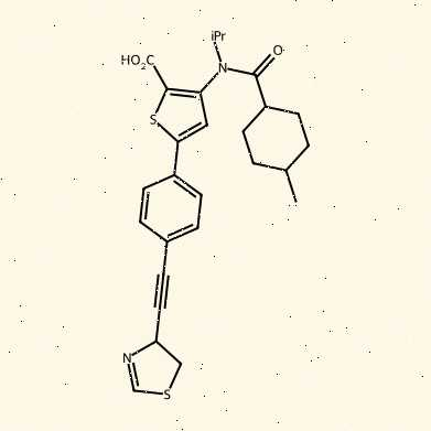 CC1CCC(C(=O)N(c2cc(-c3ccc(C#CC4CSC=N4)cc3)sc2C(=O)O)C(C)C)CC1